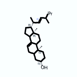 CC(C)C(C)/C=C/C(C)[C@H]1CCC2C3=CCC4C[C@@H](O)CC[C@]4(C)C3CC[C@@]21C